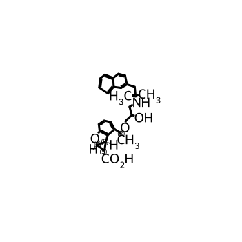 C[C@@H](OCC(O)CNC(C)(C)Cc1ccc2ccccc2c1)c1cccc2c1[C@@H]1[C@H](O2)[C@H]1C(=O)O